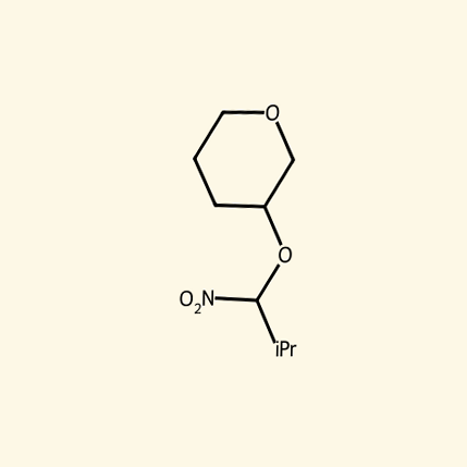 CC(C)C(OC1CCCOC1)[N+](=O)[O-]